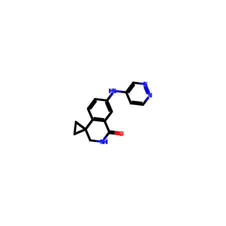 O=C1NCC2(CC2)c2ccc(Nc3ccnnc3)cc21